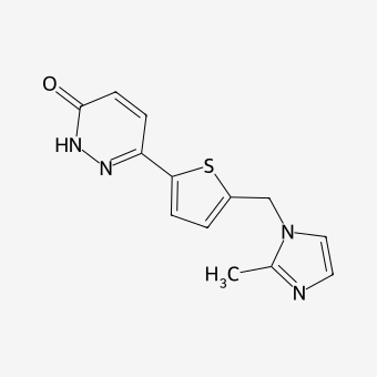 Cc1nccn1Cc1ccc(-c2ccc(=O)[nH]n2)s1